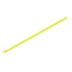 P=S=S=S=S=S=S=S=S=S=S=S=S=S=S=S=S=S=S=S=S=S=S=S=S=S=S=S=S=S=S=S=S=S=S=S=S=S=S=S=S=S=S=S=S=S=S=S=S=S=S=S=S=S=S=S=S=S=S=S=S=S=S=S=S=S=S=S=S=S=S=S=S=S=S=S=S=S=S=S